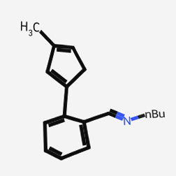 CCCCN=Cc1ccccc1C1=CC(C)=CC1